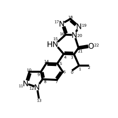 CC(C)c1c(-c2ccc3c(cnn3C)c2)[nH]c2ncnn2c1=O